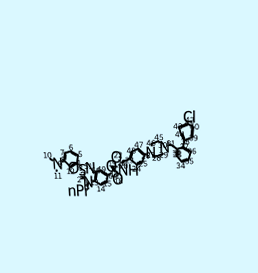 CCCN(CSc1cccc(N(C)C)c1)c1ccc(S(=O)(=O)NC(=O)c2ccc(N3CCN(Cc4ccccc4-c4ccc(Cl)cc4)CC3)cc2)cc1[N+](=O)[O-]